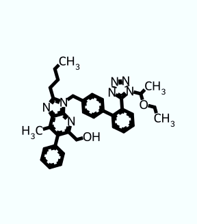 CCCCc1nc2c(C)c(-c3ccccc3)c(CO)nc2n1Cc1ccc(-c2ccccc2-c2nnnn2C(C)OCC)cc1